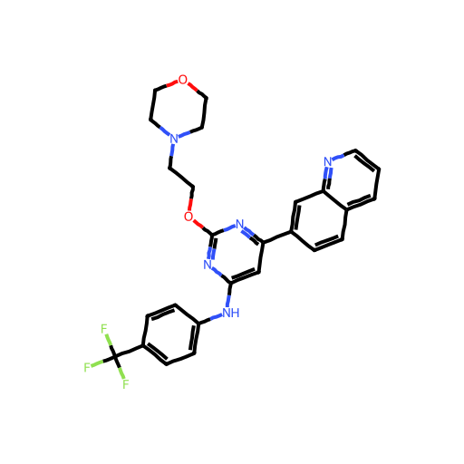 FC(F)(F)c1ccc(Nc2cc(-c3ccc4cccnc4c3)nc(OCCN3CCOCC3)n2)cc1